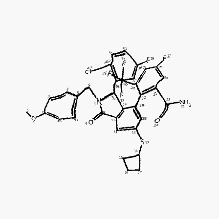 COc1ccc(CN2C(=O)c3cc(SC4CCC4)cc(-c4c(C(N)=O)cc(F)cc4C(F)(F)F)c3C2c2cc(F)ccc2Cl)cc1